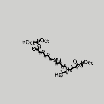 CCCCCCCCCCOC(=O)CCCN(CCO)CCCCNCCCCCC(=O)OC(CCCCCCCC)CCCCCCCC